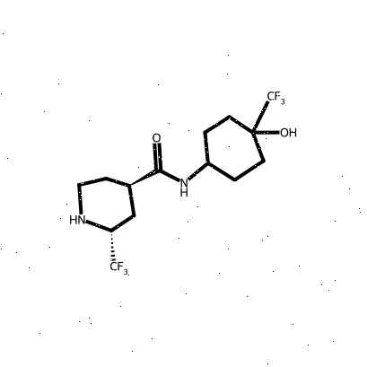 O=C(NC1CCC(O)(C(F)(F)F)CC1)[C@@H]1CCN[C@@H](C(F)(F)F)C1